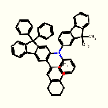 Cc1cc2c(cc1-c1cc3c(cc1N(c1ccccc1)c1ccc4c(c1)C(C)(C)c1ccccc1-4)C(c1ccccc1)(c1ccccc1)c1ccccc1-3)CCCC2